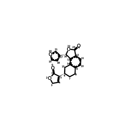 O=C1OCC=C1[C@H]1CCc2ccc3c(c2C1)[C@H](c1ccoc1)OC3=O